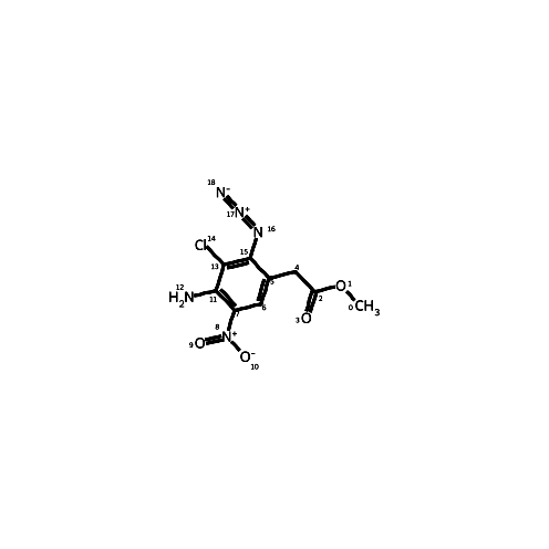 COC(=O)Cc1cc([N+](=O)[O-])c(N)c(Cl)c1N=[N+]=[N-]